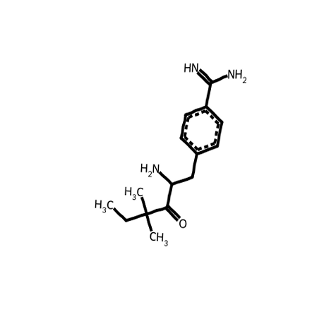 CCC(C)(C)C(=O)C(N)Cc1ccc(C(=N)N)cc1